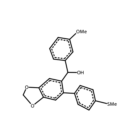 COc1cccc(C(O)c2cc3c(cc2-c2ccc(SC)cc2)OCO3)c1